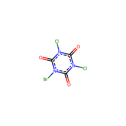 O=c1n(Cl)c(=O)n(Br)c(=O)n1Cl